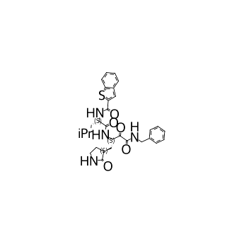 CC(C)C[C@H](NC(=O)c1cc2ccccc2s1)C(=O)N[C@@H](C[C@@H]1CCNC1=O)C(=O)C(=O)NCc1ccccc1